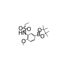 CCS(=O)(=O)Nc1cc(B2OC(C)(C)C(C)(C)O2)ccc1OC